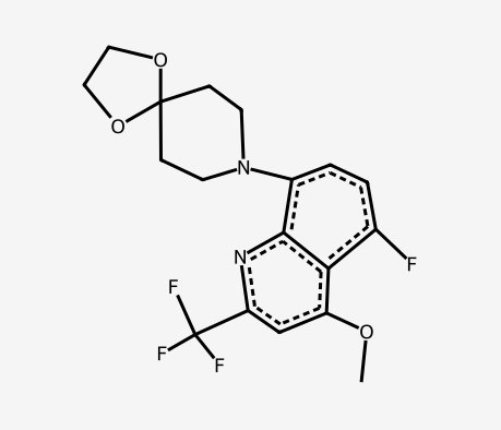 COc1cc(C(F)(F)F)nc2c(N3CCC4(CC3)OCCO4)ccc(F)c12